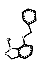 OB1OCc2cccc(OCc3ccccc3)c21